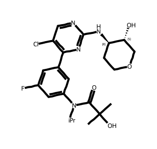 CC(C)N(C(=O)C(C)(C)O)c1cc(F)cc(-c2nc(N[C@@H]3CCOC[C@H]3O)ncc2Cl)c1